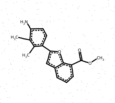 COC(=O)c1cccc2cc(-c3ccc(N)c(C)c3C)oc12